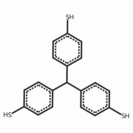 Sc1ccc(C(c2ccc(S)cc2)c2ccc(S)cc2)cc1